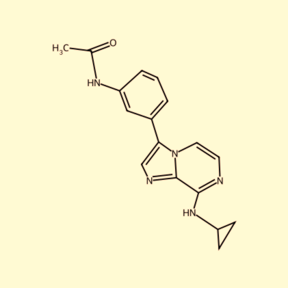 CC(=O)Nc1cccc(-c2cnc3c(NC4CC4)nccn23)c1